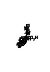 O=C(O)C(Cc1cc(-c2ccc(Cl)s2)on1)NS(=O)(=O)c1cccc(N2CCOCC2=O)c1Cl